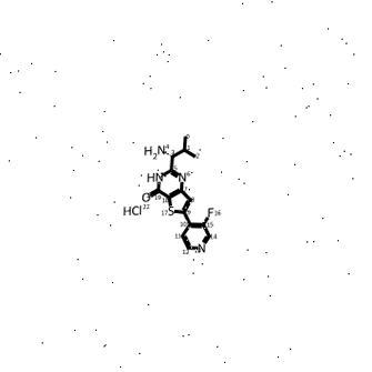 CC(C)[C@@H](N)c1nc2cc(-c3ccncc3F)sc2c(=O)[nH]1.Cl